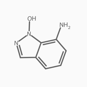 Nc1cccc2cnn(O)c12